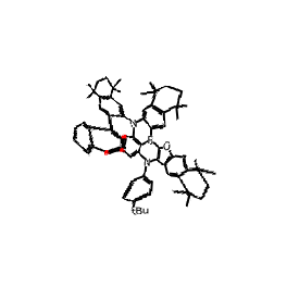 Cc1cc2c3c(c1)N(c1ccc(C(C)(C)C)cc1)c1c(oc4cc5c(cc14)C(C)(C)CCC5(C)C)B3c1cc3c(cc1N2c1cc2c(cc1-c1cccc4ccccc14)C(C)(C)CCC2(C)C)C(C)(C)CCC3(C)C